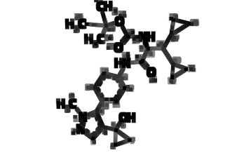 Cn1ncc(C2(O)CC2)c1-c1ccc(NC(=O)[C@@H](NC(=O)OC(C)(C)C)C(C2CC2)C2CC2)cc1